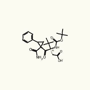 CC(C)(C)OC(=O)N[C@@](CC(=O)O)(C(=O)C1(C(N)=O)CC1c1ccccc1)C(C)(C)C